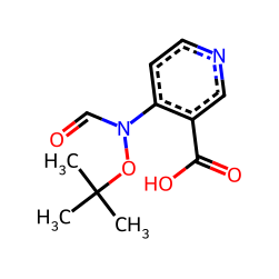 CC(C)(C)ON(C=O)c1ccncc1C(=O)O